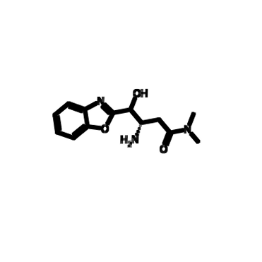 CN(C)C(=O)C[C@H](N)C(O)c1nc2ccccc2o1